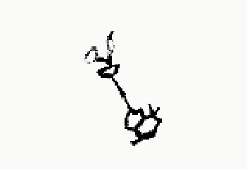 CCOC(=O)c1ccc(C#Cc2ccc3c(c2)C(C)(C)CC=C3C)cc1